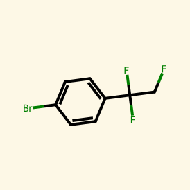 FCC(F)(F)c1ccc(Br)cc1